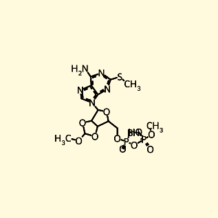 BP(=O)(OCC1OC(n2cnc3c(N)nc(SC)nc32)C2OC(OC)OC12)OP(=O)(O)OC